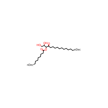 CCCCCCCCCCCCCCCCCCCCCC(=O)C(OC(=O)CCCCCCCCCCCCCCCCC)C(O)CO